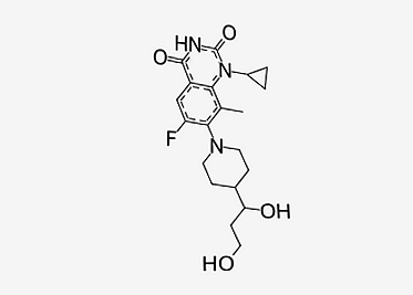 Cc1c(N2CCC(C(O)CCO)CC2)c(F)cc2c(=O)[nH]c(=O)n(C3CC3)c12